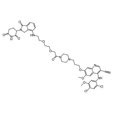 COc1cc(Nc2c(C#N)cnc3cc(OCCCN4CCN(C(=O)COCCOCCNc5cccc6c5CN(C5CCC(=O)NC5=O)C6=O)CC4)c(OC)cc23)c(Cl)cc1Cl